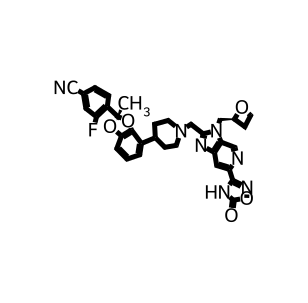 C[C@]1(c2ccc(C#N)cc2F)Oc2cccc(C3CCN(Cc4nc5cc(-c6noc(=O)[nH]6)ncc5n4C[C@@H]4CCO4)CC3)c2O1